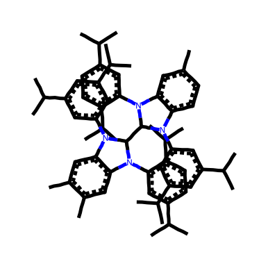 Cc1ccc2c(c1)N(c1cc(C(C)C)ccc1C(C)C)C(C1N(c3cc(C(C)C)cc(C(C)C)c3)c3cc(C)c(C)cc3N1c1cc(C(C)C)ccc1C(C)C)N2c1cc(C(C)C)cc(C(C)C)c1